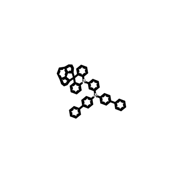 c1ccc(-c2ccc(N(c3ccc(-c4ccccc4)cc3)c3cccc(N4c5ccccc5C5(c6ccccc64)c4cccc6ccc7cccc5c7c46)c3)cc2)cc1